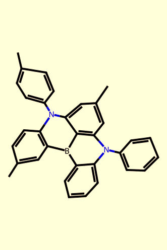 Cc1ccc(N2c3ccc(C)cc3B3c4ccccc4N(c4ccccc4)c4cc(C)cc2c43)cc1